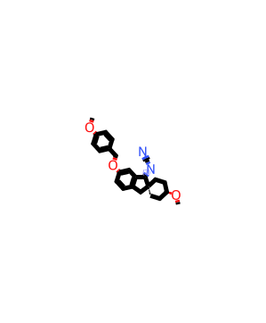 COc1ccc(COc2ccc3c(c2)/C(=N\C#N)[C@]2(CC[C@H](OC)CC2)C3)cc1